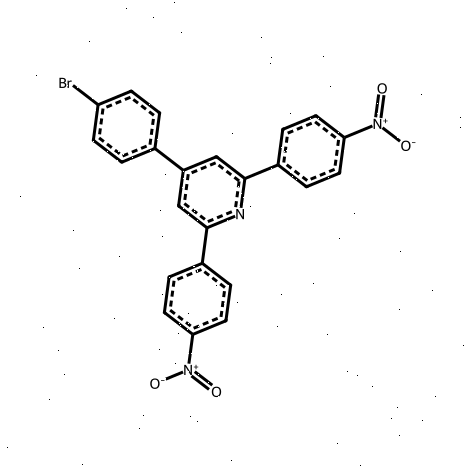 O=[N+]([O-])c1ccc(-c2cc(-c3ccc(Br)cc3)cc(-c3ccc([N+](=O)[O-])cc3)n2)cc1